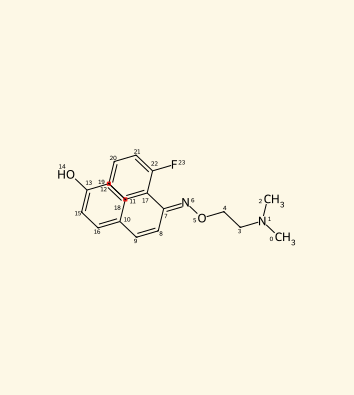 CN(C)CCO/N=C(\C=C/c1ccc(O)cc1)c1ccccc1F